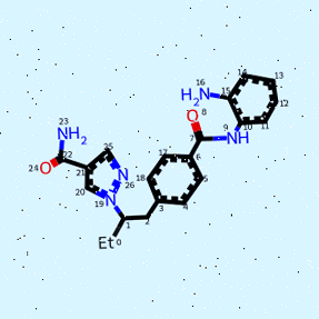 CCC(Cc1ccc(C(=O)Nc2ccccc2N)cc1)n1cc(C(N)=O)cn1